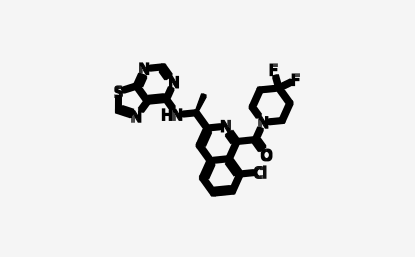 C[C@H](Nc1ncnc2scnc12)c1cc2cccc(Cl)c2c(C(=O)N2CCC(F)(F)CC2)n1